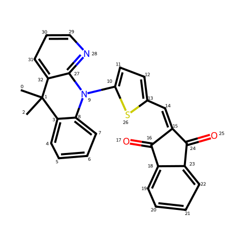 CC1(C)c2ccccc2N(c2ccc(C=C3C(=O)c4ccccc4C3=O)s2)c2ncccc21